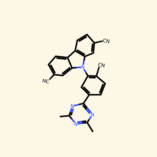 Cc1nc(C)nc(-c2ccc(C#N)c(-n3c4cc(C#N)ccc4c4ccc(C#N)cc43)c2)n1